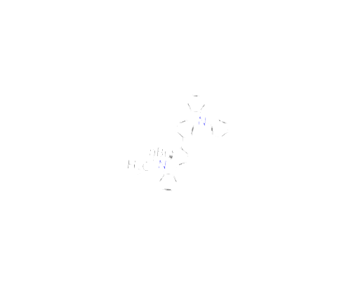 CCCCC(C)n1c2ccccc2c2ccc(-c3ccc4c5ccccc5n(-c5ccccc5)c4c3)cc21